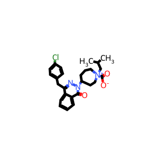 CC(C)C[N+]1(C(=O)[O-])CCCC(n2nc(Cc3ccc(Cl)cc3)c3ccccc3c2=O)CC1